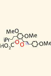 COc1ccc(/C=C/C(=O)c2c(OC)cc(OC)c(CCC(C)C)c2OCC(=O)O)cc1